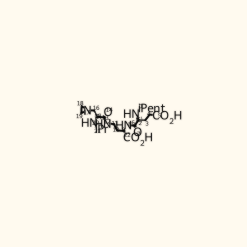 CCCC(C)N[C@@H](CCC(=O)O)C(=O)NC(CCNC(=O)[C@H](CN1CC1)NC(C)C)C(=O)O